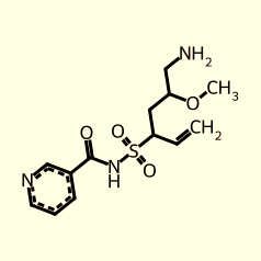 C=CC(CC(CN)OC)S(=O)(=O)NC(=O)c1cccnc1